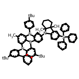 Cc1cc2c3c(c1)N(c1ccc(C(C)(C)C)cc1-c1ccccc1)c1ccc(C(C)(C)C)cc1B3c1ccc(N3c4ccc([Si](c5ccccc5)(c5ccccc5)c5ccccc5)cc4C4(C)CCCCC34C)cc1N2c1ccc(C(C)(C)C)cc1